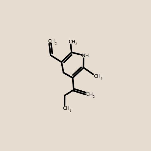 C=CC1=C(C)NC(C)=C(C(=C)CC)C1